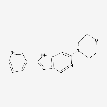 c1cncc(-c2cc3cnc(N4CCOCC4)cc3[nH]2)c1